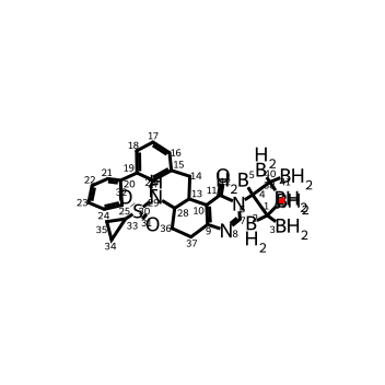 BC(B)(B)C(B)(n1cnc2c(c1=O)C(Cc1cccc(-c3ccccc3)c1F)C(NS(=O)(=O)C1CC1)CC2)C(B)(B)B